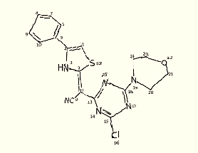 N#CC(=C1NC(c2ccccc2)=CS1)c1nc(Cl)nc(N2CCOCC2)n1